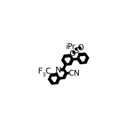 CC(C)S(=O)(=O)c1ccccc1-c1cccc(-c2nc3c(C(F)(F)F)cccc3cc2C#N)c1